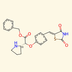 O=C1NC(=O)C(=Cc2ccc(OC(C(=O)OCc3ccccc3)[C@@H]3CCCN3)cc2)S1